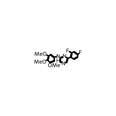 COc1cc(Nc2cncc(-c3ccc(F)cc3F)n2)cc(OC)c1OC